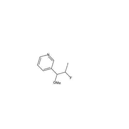 COC(c1cccnc1)C(F)I